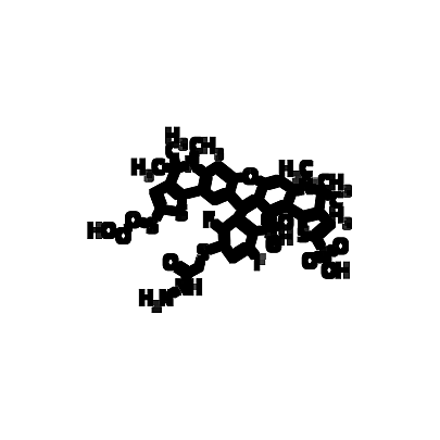 CN1c2cc3c(cc2-c2sc(SOOO)cc2C1(C)C)C(c1c(F)c(SCC(=O)NN)cc(F)c1S(=O)(=O)O)=c1cc2c(cc1O3)=[N+](C)C(C)(C)c1cc(S(=O)(=O)O)sc1-2